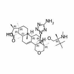 CN[C@@](C)(CO[C@H]1[C@H](n2nnc(N)n2)C[C@@]23COC[C@@]1(C)[C@@H]2CC[C@H]1C3=CC[C@@]2(C)[C@H](C(=O)O)[C@@](C)([C@H](C)C(C)C)CC[C@]12C)C(C)(C)C